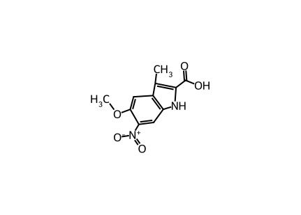 COc1cc2c(C)c(C(=O)O)[nH]c2cc1[N+](=O)[O-]